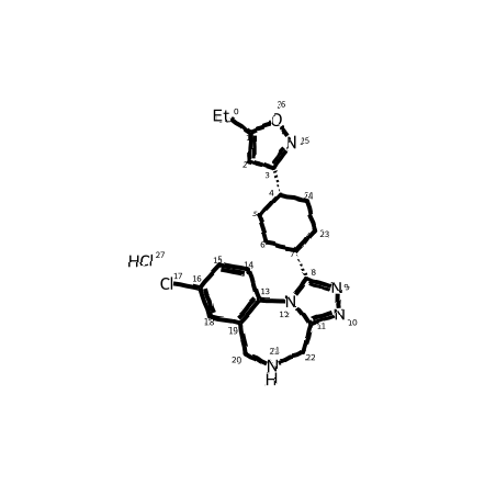 CCc1cc([C@H]2CC[C@@H](c3nnc4n3-c3ccc(Cl)cc3CNC4)CC2)no1.Cl